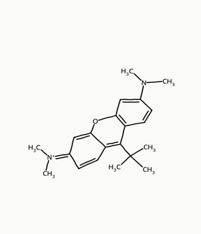 CN(C)c1ccc2c(C(C)(C)C)c3ccc(=[N+](C)C)cc-3oc2c1